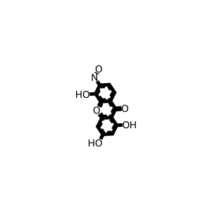 O=Nc1ccc2c(=O)c3c(O)cc(O)cc3oc2c1O